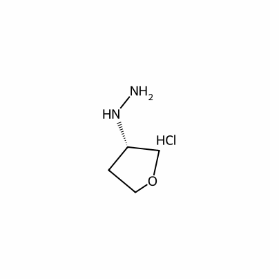 Cl.NN[C@H]1CCOC1